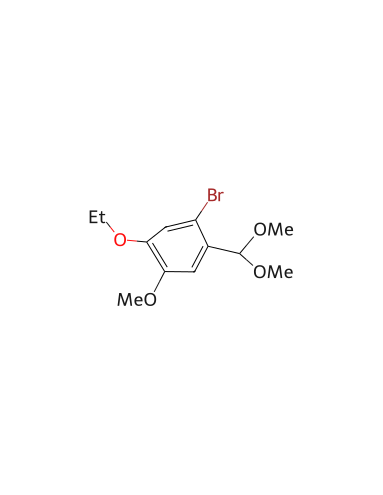 CCOc1cc(Br)c(C(OC)OC)cc1OC